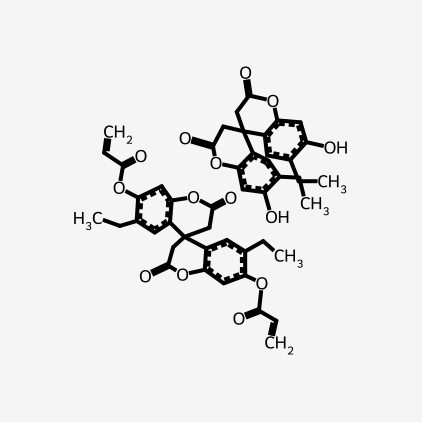 C=CC(=O)Oc1cc2c(cc1CC)C1(CC(=O)O2)CC(=O)Oc2cc(OC(=O)C=C)c(CC)cc21.CCc1cc2c(cc1O)OC(=O)CC21CC(=O)Oc2cc(O)c(CC)cc21